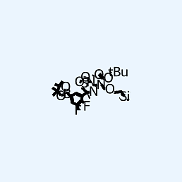 CN1C(N(COCC[Si](C)(C)C)C(=O)OC(C)(C)C)=N[C@](C)(c2cc(B3OC(C)(C)C(C)(C)O3)cc(F)c2F)CS1(=O)=O